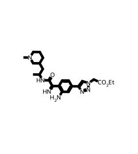 CCOC(=O)Cn1cc(-c2ccc(C(=N)C(=O)NC(C)CC3CCCN(C)C3)c(N)c2)nn1